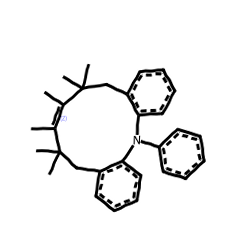 C/C1=C(\C)C(C)(C)Cc2ccccc2N(c2ccccc2)c2ccccc2CC1(C)C